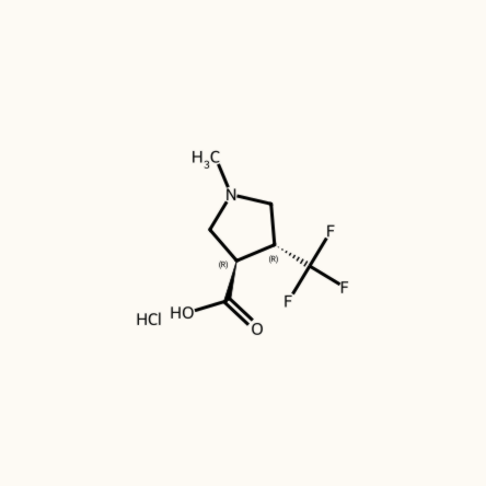 CN1C[C@H](C(=O)O)[C@@H](C(F)(F)F)C1.Cl